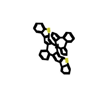 c1ccc2c(c1)-c1ccccc1[Si]1(c3ccccc3-2)c2cc3sc4ccccc4c3cc2-c2ccccc2-c2cc3c(cc21)sc1ccccc13